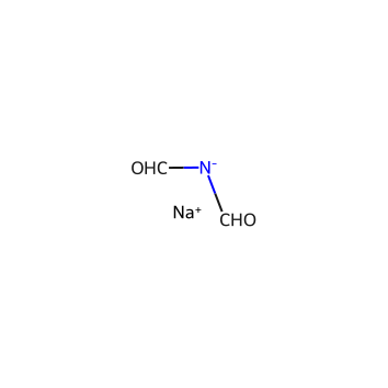 O=C[N-]C=O.[Na+]